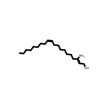 CCCCCCCC/C=C\CCCCCCCC(N)=CCO